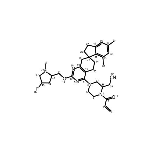 C=CC(=O)N1CCN(c2nc(OCC3CC(F)CN3C)nc3c2CCC2(CCc4cc(C)cc(C)c42)C3)CC1CC#N